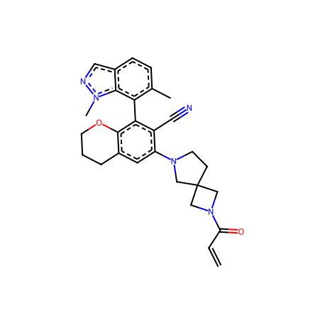 C=CC(=O)N1CC2(CCN(c3cc4c(c(-c5c(C)ccc6cnn(C)c56)c3C#N)OCCC4)C2)C1